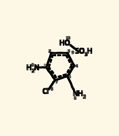 Nc1cccc(N)c1Cl.O=S(=O)(O)O